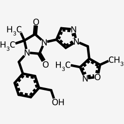 Cc1noc(C)c1Cn1cc(N2C(=O)N(Cc3cccc(CO)c3)C(C)(C)C2=O)cn1